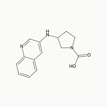 O=C(O)N1CCC(Nc2cnc3ccccc3c2)C1